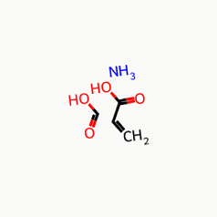 C=CC(=O)O.N.O=CO